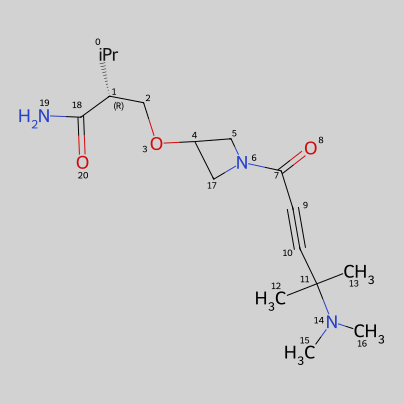 CC(C)[C@H](COC1CN(C(=O)C#CC(C)(C)N(C)C)C1)C(N)=O